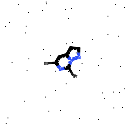 CCc1cc2ccnn2c(C(C)C)n1